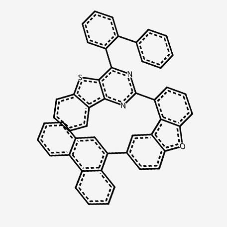 c1ccc(-c2ccccc2-c2nc(-c3cccc4oc5ccc(-c6cc7ccccc7c7ccccc67)cc5c34)nc3c2sc2ccccc23)cc1